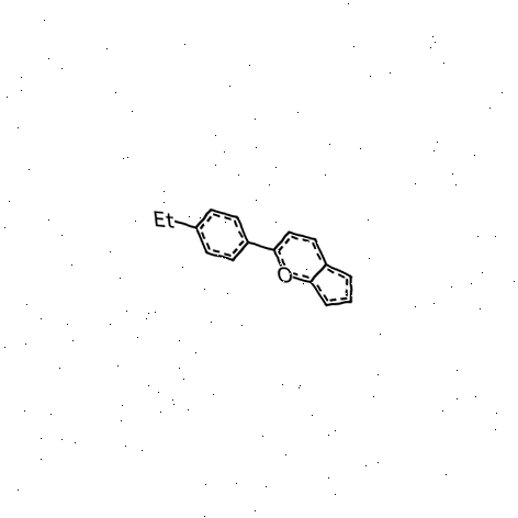 CCc1ccc(-c2ccc3cccc-3o2)cc1